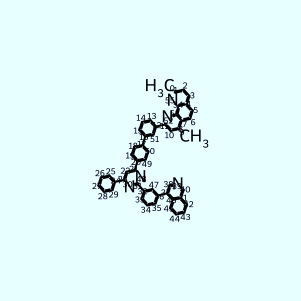 Cc1ccc2ccc3c(C)cc(-c4cccc(-c5ccc(-c6cc(-c7ccccc7)nc(-c7cccc(-c8cncc9ccccc89)c7)n6)cc5)c4)nc3c2n1